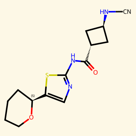 N#CN[C@H]1C[C@H](C(=O)Nc2ncc([C@@H]3CCCCO3)s2)C1